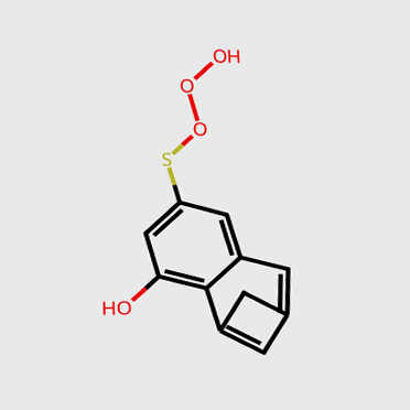 OOOSc1cc(O)c2c3cc(cc2c1)C3